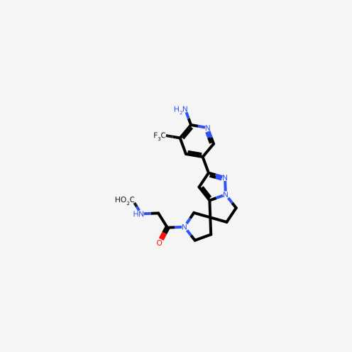 Nc1ncc(-c2cc3n(n2)CCC32CCN(C(=O)CNC(=O)O)C2)cc1C(F)(F)F